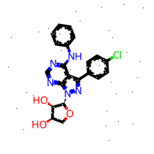 O[C@@H]1[C@H](O)CO[C@H]1n1nc(-c2ccc(Cl)cc2)c2c(Nc3ccccc3)ncnc21